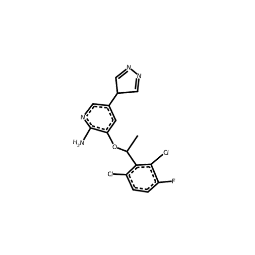 CC(Oc1cc(C2C=NN=C2)cnc1N)c1c(Cl)ccc(F)c1Cl